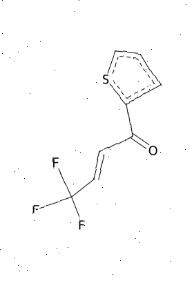 O=C(/C=C/C(F)(F)F)c1cccs1